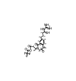 CC(CC(=O)OC(=O)C(F)(F)F)N1CC(=O)N(C)c2ccc(CCCC(S)NC(=N)N)cc2C1=O